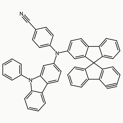 N#Cc1ccc(N(c2ccc3c(c2)C2(c4ccc#cc4-c4ccccc42)c2ccccc2-3)c2ccc3c4ccccc4n(-c4ccccc4)c3c2)cc1